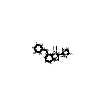 c1ccc(Cc2cccc3nc(-c4nccs4)[nH]c23)cc1